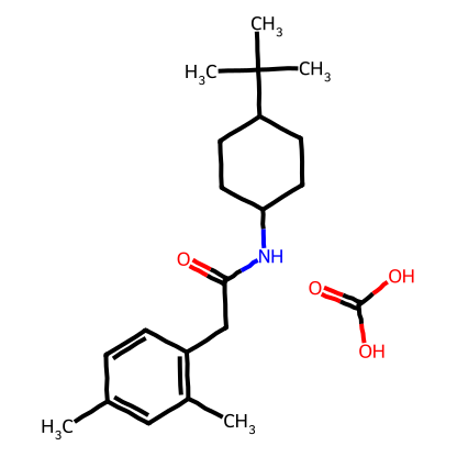 Cc1ccc(CC(=O)NC2CCC(C(C)(C)C)CC2)c(C)c1.O=C(O)O